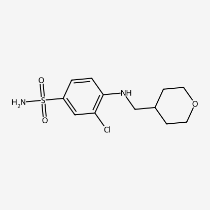 NS(=O)(=O)c1ccc(NCC2CCOCC2)c(Cl)c1